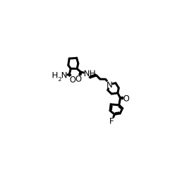 NC(=O)C1CCCCC1C(=O)NC=CCCN1CCC(C(=O)c2ccc(F)cc2)CC1